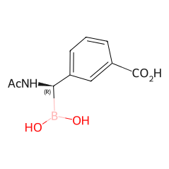 CC(=O)N[C@H](B(O)O)c1cccc(C(=O)O)c1